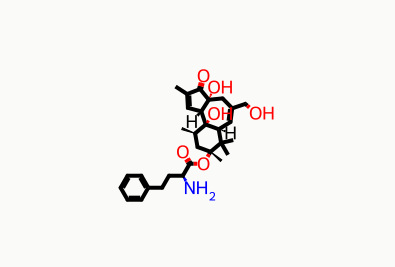 CC1=C[C@H]2[C@@]3(O)[C@H](C)C[C@@](C)(OC(=O)[C@@H](N)CCc4ccccc4)C(C)(C)[C@@H]3C=C(CO)C[C@]2(O)C1=O